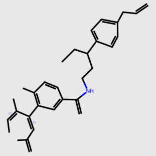 C=CCc1ccc(C(CC)CCNC(=C)c2ccc(C)c(C(=C/C(=C)C)/C(C)=C\C)c2)cc1